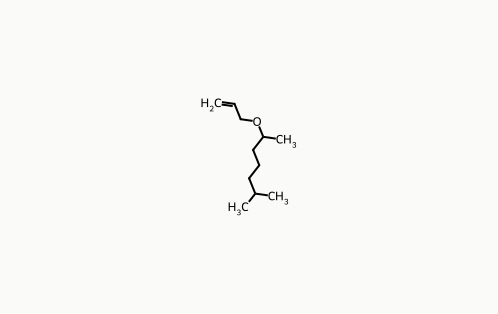 C=CCOC(C)CCCC(C)C